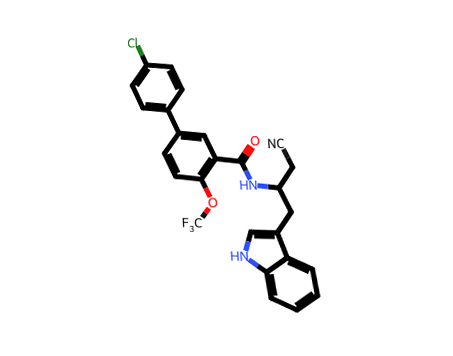 N#CCC(Cc1c[nH]c2ccccc12)NC(=O)c1cc(-c2ccc(Cl)cc2)ccc1OC(F)(F)F